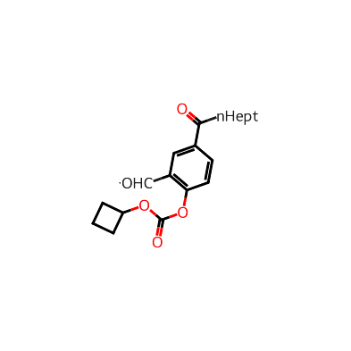 CCCCCCCC(=O)c1ccc(OC(=O)OC2CCC2)c([C]=O)c1